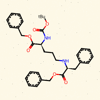 CC(C)(C)OC(=O)N[C@@H](CCCN[C@@H](Cc1ccccc1)C(=O)OCc1ccccc1)C(=O)OCc1ccccc1